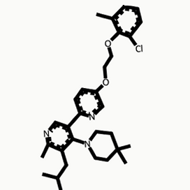 Cc1cccc(Cl)c1OCCOc1ccc(-c2cnc(C)c(CC(C)C)c2N2CCC(C)(C)CC2)nc1